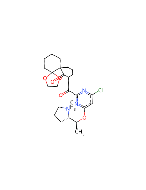 C[C@H](Oc1cc(Cl)nc(C(=O)C2CCC[C@@]3(CCCCC34OCCO4)C2=O)n1)[C@@H]1CCCN1C